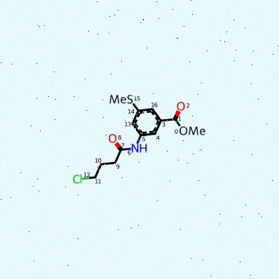 COC(=O)c1cc(NC(=O)CCCCl)cc(SC)c1